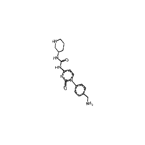 NCc1ccc(-n2ccc(NC(=O)NC3CCCNC3)nc2=O)cc1